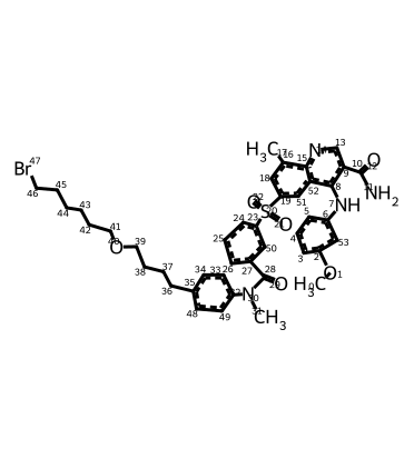 COc1cccc(Nc2c(C(N)=O)cnc3c(C)cc(S(=O)(=O)c4cccc(C(=O)N(C)c5ccc(CCCCOCCCCCCBr)cc5)c4)cc23)c1